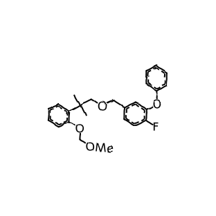 COCOc1ccccc1C(C)(C)COCc1ccc(F)c(Oc2ccccc2)c1